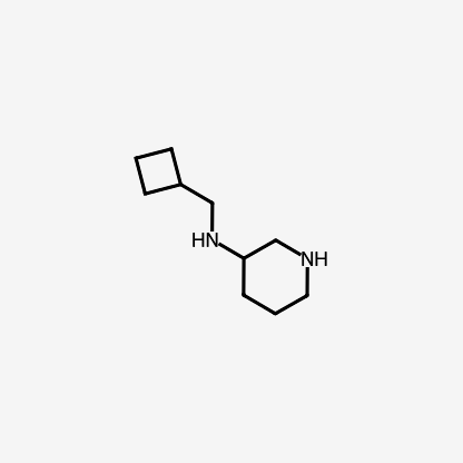 C1CC(CNC2CCCNC2)C1